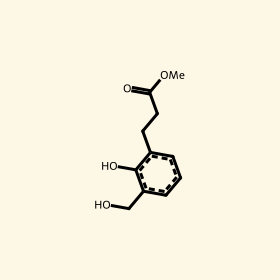 COC(=O)CCc1cccc(CO)c1O